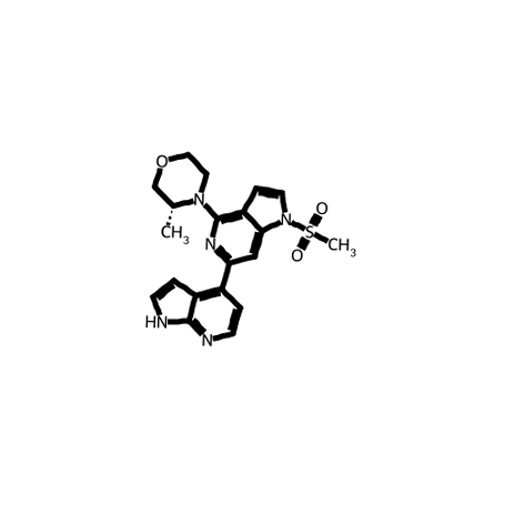 C[C@@H]1COCCN1c1nc(-c2ccnc3[nH]ccc23)cc2c1ccn2S(C)(=O)=O